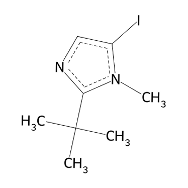 Cn1c(I)cnc1C(C)(C)C